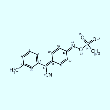 Cc1cccc(C(C#N)=C2C=CC(=NOS(C)(=O)=O)C=C2)c1